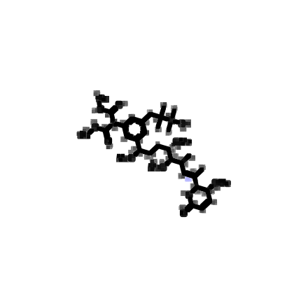 CO[C@@H]([C@H](C[C@H](C)[C@@H](OC)c1cc(CC(C)(C)[Si](C)(C)O)cc(N(C(=O)OC(C)(C)C)C(=O)OC(C)(C)C)c1)OC)[C@@H](C)/C=C(\C)[C@@H]1OC(=O)C=C[C@@H]1OC